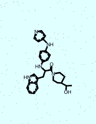 CC(O)C1CCN(C(=O)C(Cc2c[nH]c3ccccc23)Nc2ccc(Nc3ccncc3)cc2)CC1